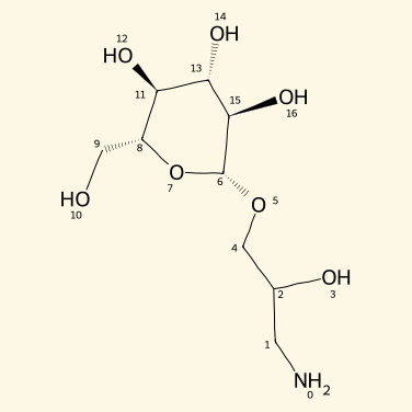 NCC(O)CO[C@@H]1O[C@H](CO)[C@@H](O)[C@H](O)[C@H]1O